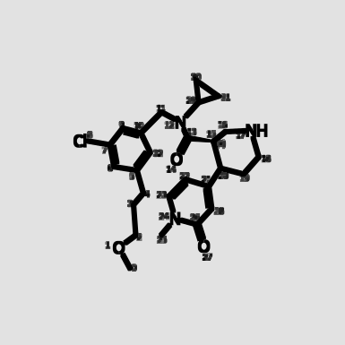 COCCCc1cc(Cl)cc(CN(C(=O)[C@H]2CNCCC2c2ccn(C)c(=O)c2)C2CC2)c1